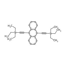 CC[Si](C#Cc1c2ccccc2c(C#C[Si](CC)(CC)CC)c2ccccc12)(CC)CC